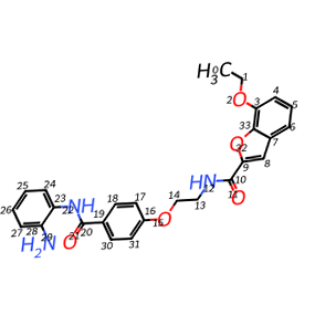 CCOc1cccc2cc(C(=O)NCCOc3ccc(C(=O)Nc4ccccc4N)cc3)oc12